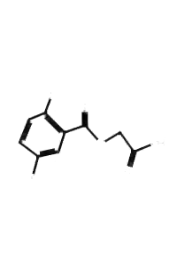 O=C(O)CSC(=S)c1cc(F)ccc1F